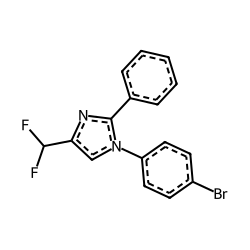 FC(F)c1cn(-c2ccc(Br)cc2)c(-c2ccccc2)n1